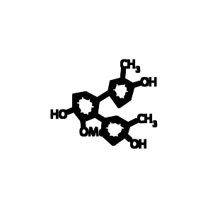 COc1c(O)ccc(-c2ccc(O)c(C)c2)c1-c1ccc(O)c(C)c1